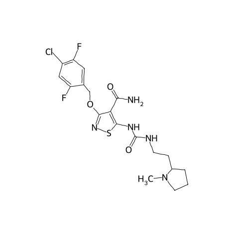 CN1CCCC1CCNC(=O)Nc1snc(OCc2cc(F)c(Cl)cc2F)c1C(N)=O